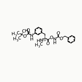 CN[C@@H](Cc1cccc(NC(=O)OC(C)(C)C)c1)C(=O)ONC(=O)OCc1ccccc1